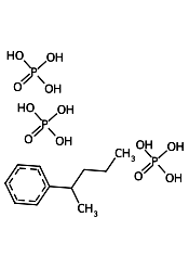 CCCC(C)c1ccccc1.O=P(O)(O)O.O=P(O)(O)O.O=P(O)(O)O